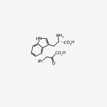 CC(C)CC(=O)C(=O)O.N[C@@H](Cc1c[nH]c2ccccc12)C(=O)O